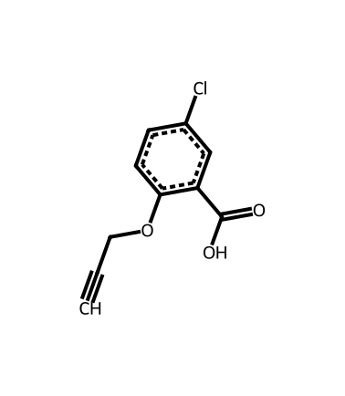 C#CCOc1ccc(Cl)cc1C(=O)O